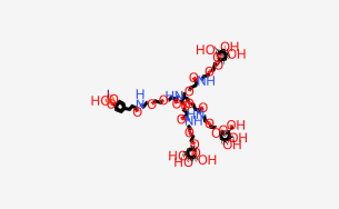 O=C(CCOCC(COCCC(=O)NCCOCCO[C@H]1C[C@@H](O)[C@@H](O)[C@@H](CO)O1)(COCCC(=O)NCCOCCO[C@H]1C[C@@H](O)[C@@H](O)[C@@H](CO)O1)NC(=O)CCOCCOCCNC(=O)CCc1ccc(OP(=O)(O)I)cc1)NCCOCCO[C@H]1C[C@@H](O)[C@@H](O)[C@@H](CO)O1